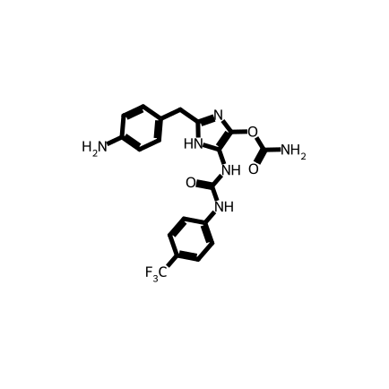 NC(=O)Oc1nc(Cc2ccc(N)cc2)[nH]c1NC(=O)Nc1ccc(C(F)(F)F)cc1